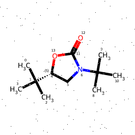 CC(C)(C)[C@H]1CN(C(C)(C)C)C(=O)O1